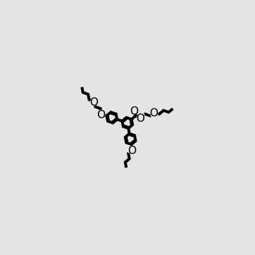 CCCCOCCOC(=O)c1cc(-c2ccc(OCCCC)cc2)cc(-c2ccc(OCCOCCCC)cc2)c1